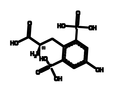 N[C@@H](Cc1c(P(=O)(O)O)cc(O)cc1P(=O)(O)O)C(=O)O